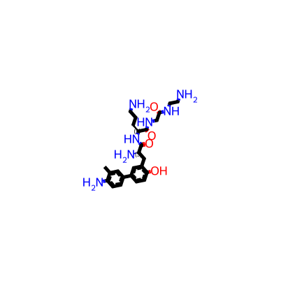 Cc1cc(-c2ccc(O)c(C[C@H](N)C(=O)N[C@@H](CCCN)C(=O)NCC(=O)NCCN)c2)ccc1N